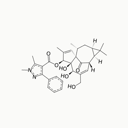 CC1=C[C@]23C(=O)[C@@H](C=C(CO)[C@@H](O)[C@]2(O)[C@H]1OC(=O)c1c(-c2ccccc2)nn(C)c1C)[C@H]1[C@@H](C[C@H]3C)C1(C)C